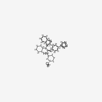 O=C(NC1CCCCC1)C(C1CCCCC1)n1c(-c2cccc(-n3cnnn3)c2)nc2ccccc21.[Cl-].[H+]